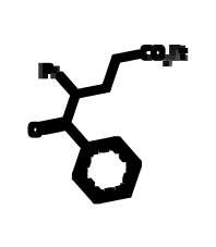 CCOC(=O)CCC(C(=O)c1ccccc1)C(C)C